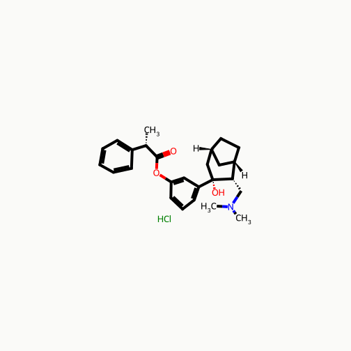 C[C@H](C(=O)Oc1cccc([C@@]2(O)C[C@@H]3CC[C@@H](C3)[C@@H]2CN(C)C)c1)c1ccccc1.Cl